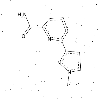 Cn1ccc(-c2cccc(C(N)=O)n2)n1